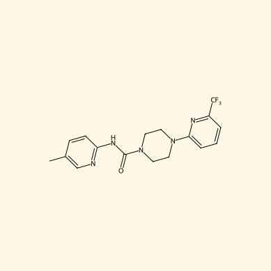 Cc1ccc(NC(=O)N2CCN(c3cccc(C(F)(F)F)n3)CC2)nc1